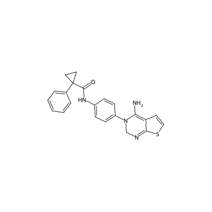 NC1=c2ccsc2=NCN1c1ccc(NC(=O)C2(c3ccccc3)CC2)cc1